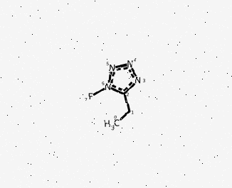 CCc1nnnn1F